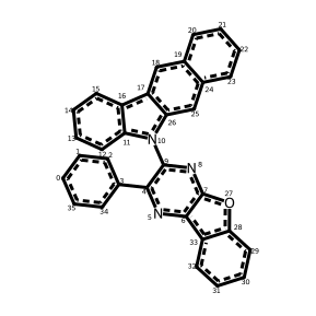 c1ccc(-c2nc3c(nc2-n2c4ccccc4c4cc5ccccc5cc42)oc2ccccc23)cc1